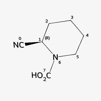 N#C[C@H]1CCCCN1C(=O)O